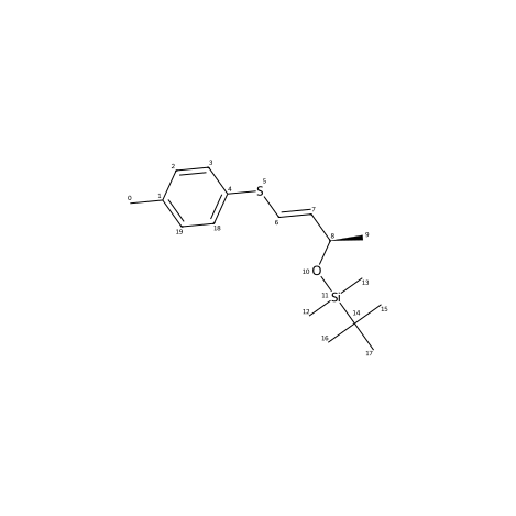 Cc1ccc(S/C=C/[C@@H](C)O[Si](C)(C)C(C)(C)C)cc1